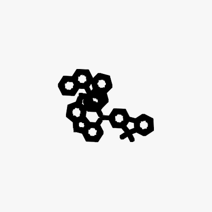 CC1(C)c2ccccc2-c2ccc(N(c3ccc(-c4cccc5ccccc45)cc3)c3cccc4sc5ccc6sc7c8ccccc8ccc7c6c5c34)cc21